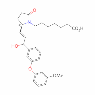 COc1cccc(Oc2cccc(C(O)C=C[C@H]3CCC(=O)N3CCCCCCC(=O)O)c2)c1